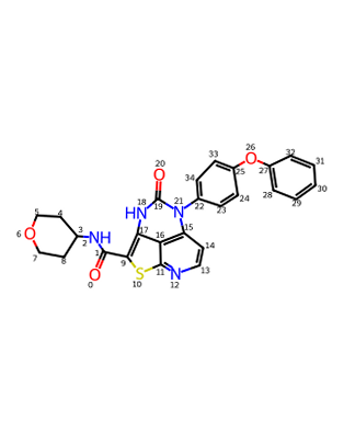 O=C(NC1CCOCC1)c1sc2nccc3c2c1NC(=O)N3c1ccc(Oc2ccccc2)cc1